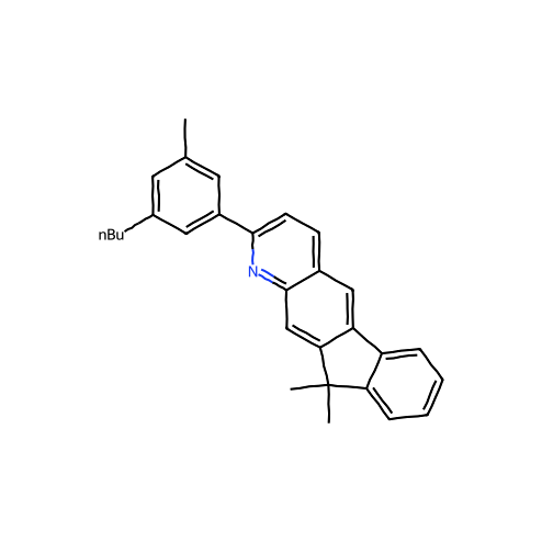 CCCCc1cc(C)cc(-c2ccc3cc4c(cc3n2)C(C)(C)c2ccccc2-4)c1